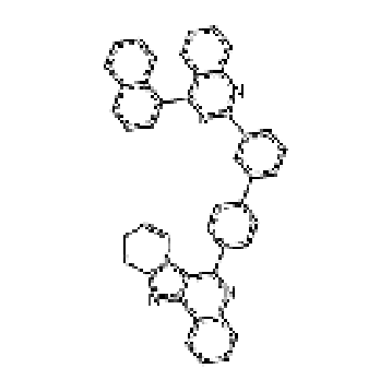 C1=Cn2c(nc3c4ccccc4nc(-c4ccc(-c5cccc(-c6nc(-c7cccc8ccccc78)c7ccccc7n6)c5)cc4)c32)CC1